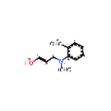 O=Cc1ccccc1N(C=O)CC=CO